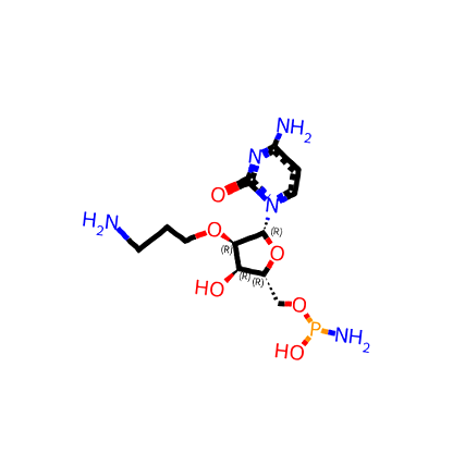 NCCCO[C@@H]1[C@H](O)[C@@H](COP(N)O)O[C@H]1n1ccc(N)nc1=O